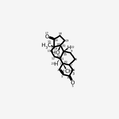 C[C@]12C=CC(=O)CC1CC[C@@H]1[C@@H]2CC[C@]2(C)C(=O)CC[C@]12O